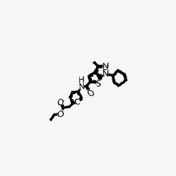 CCOC(=O)Cc1ccc(NC(=O)c2cc3c(C)nn(C4CCCCC4)c3s2)cc1